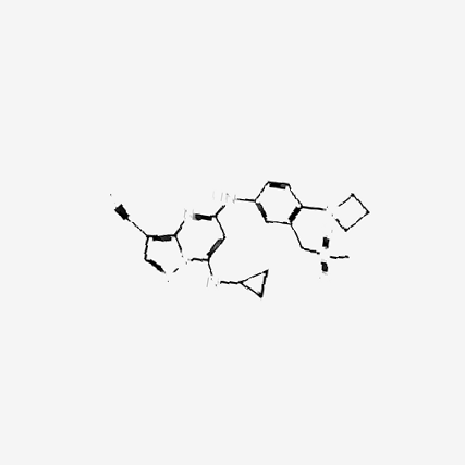 CS(=O)(=O)Cc1cc(Nc2cc(NC3CC3)n3ncc(C#N)c3n2)ccc1N1CCC1